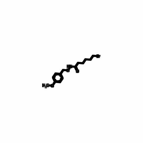 COc1ccc(CONC(=O)CCCCCBr)cc1